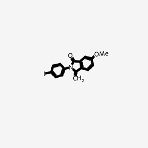 C=C1c2ccc(OC)cc2C(=O)N1c1ccc(I)cc1